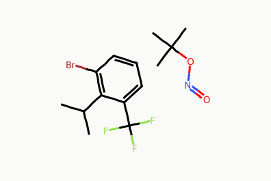 CC(C)(C)ON=O.CC(C)c1c(Br)cccc1C(F)(F)F